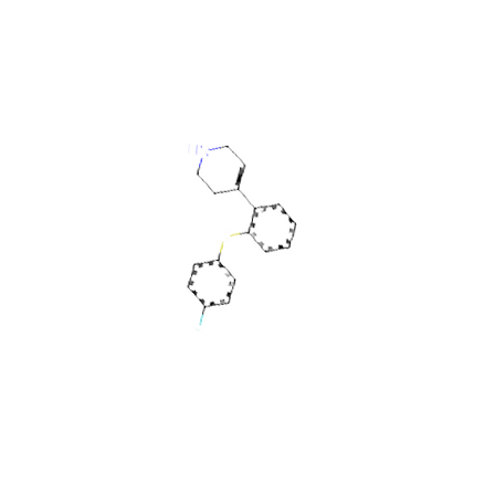 Fc1ccc(Sc2ccccc2C2=CCNCC2)cc1